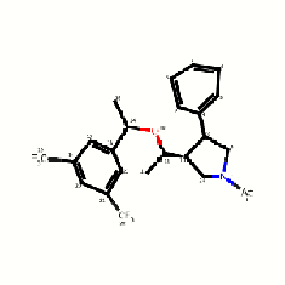 CC(=O)N1CC(c2ccccc2)[C@H](C(C)OC(C)c2cc(C(F)(F)F)cc(C(F)(F)F)c2)C1